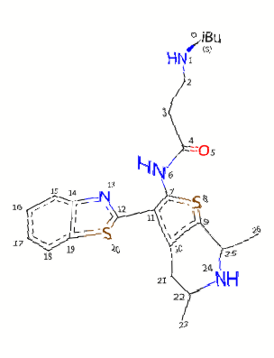 CC[C@H](C)NCCC(=O)Nc1sc2c(c1-c1nc3ccccc3s1)CC(C)NC2C